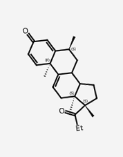 CCC(=O)[C@@]1(C)CCC2C3C[C@H](C)C4=CC(=O)C=C[C@]4(C)C3=CC[C@@]21C